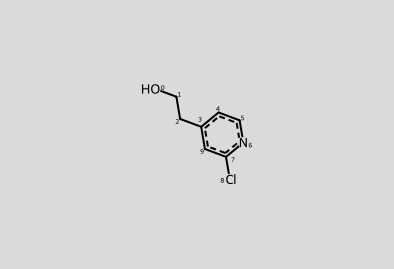 OCCc1ccnc(Cl)c1